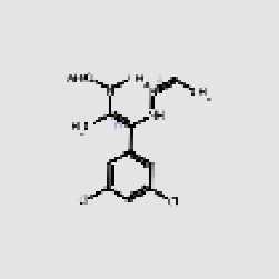 C/C=N\N/C(=C(/C)N(C)OC)c1cc(Cl)cc(Cl)c1